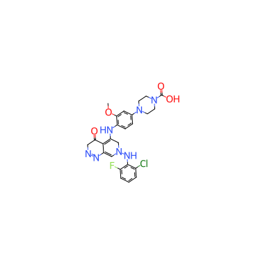 COc1cc(N2CCN(C(=O)O)CC2)ccc1NC1=C2C(=O)CN=NC2=CN(Nc2c(F)cccc2Cl)C1